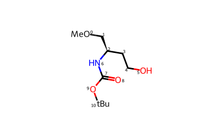 COC[C@@H](CCO)NC(=O)OC(C)(C)C